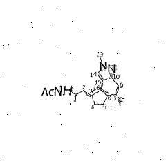 CC(=O)NCC=C1CCc2c(F)cc3nn(C)cc3c21